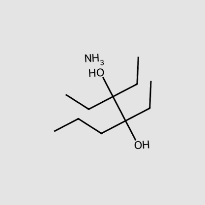 CCCC(O)(CC)C(O)(CC)CC.N